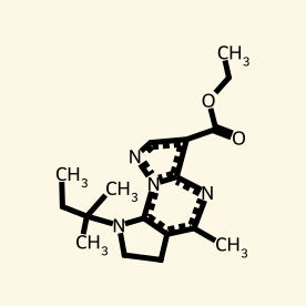 CCOC(=O)c1cnn2c3c(c(C)nc12)CCN3C(C)(C)CC